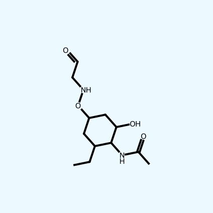 CCC1CC(ONCC=O)CC(O)C1NC(C)=O